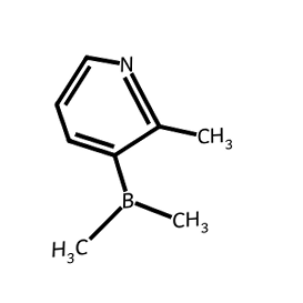 CB(C)c1cccnc1C